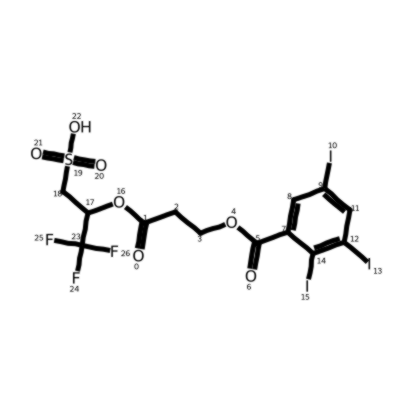 O=C(CCOC(=O)c1cc(I)cc(I)c1I)OC(CS(=O)(=O)O)C(F)(F)F